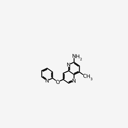 Cc1cc(N)nc2cc(Oc3ccccn3)cnc12